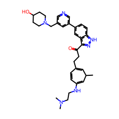 CC1C=C(CCC(=O)c2n[nH]c3ccc(-c4cncc(CN5CCC(O)CC5)c4)cc23)C=CC(NCCN(C)C)=C1